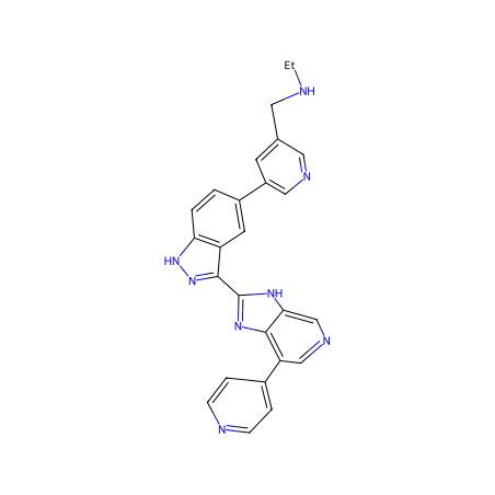 CCNCc1cncc(-c2ccc3[nH]nc(-c4nc5c(-c6ccncc6)cncc5[nH]4)c3c2)c1